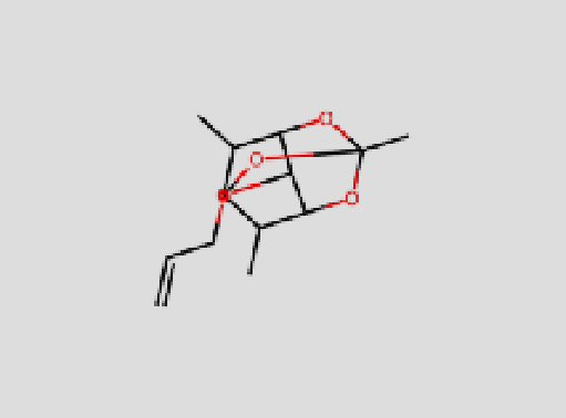 C=CCOC1C2OC3(C)OC(C2C)C(C)C1O3